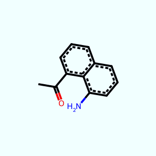 CC(=O)c1cccc2cccc(N)c12